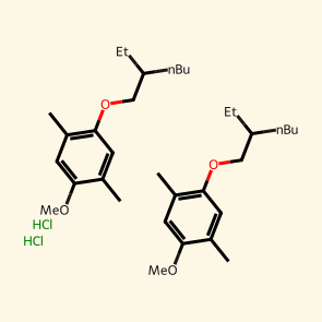 CCCCC(CC)COc1cc(C)c(OC)cc1C.CCCCC(CC)COc1cc(C)c(OC)cc1C.Cl.Cl